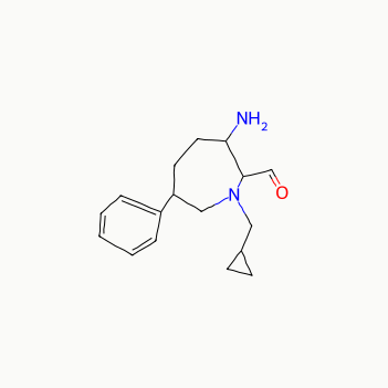 NC1CCC(c2ccccc2)CN(CC2CC2)C1C=O